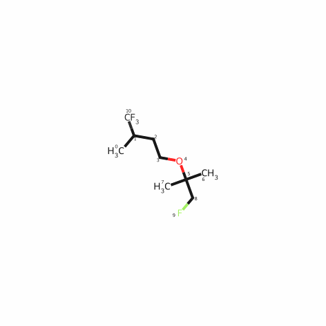 CC(CCOC(C)(C)CF)C(F)(F)F